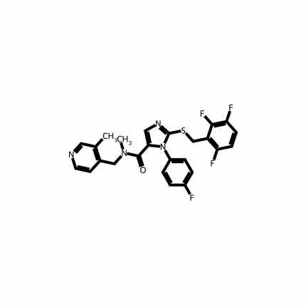 Cc1cnccc1CN(C)C(=O)c1cnc(SCc2c(F)ccc(F)c2F)n1-c1ccc(F)cc1